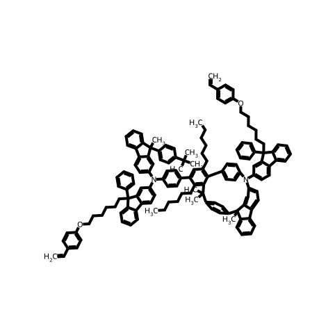 C=Cc1ccc(OCCCCCCC2(c3ccccc3)c3ccccc3-c3ccc(N(c4ccc(-c5cc(CCCCCC)c6c(c5CCCCCC)C(C)(C)c5ccc(cc5)C5(C)c7ccccc7-c7ccc(cc75)N(c5ccc7c(c5)C(CCCCCCOc5ccc(C=C)cc5)(c5ccccc5)c5ccccc5-7)c5ccc-6cc5)cc4)c4ccc5c(c4)C(C)(c4ccc(C(C)(C)C)cc4)c4ccccc4-5)cc32)cc1